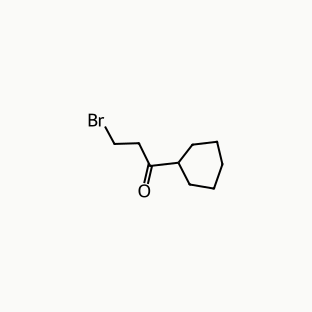 O=C(CCBr)C1CCCCC1